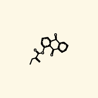 C=C(CC)C(=O)Oc1cccc2c1C(=O)c1ccccc1C2=O